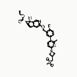 CCOC(=O)[C@H]1C2=Cc3cc(OCc4cc(-c5ccc(N6CC(CS(C)(=O)=O)C6)nc5C)ccc4F)ncc3[C@@H]21